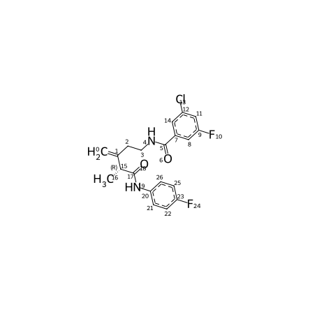 C=C(CCNC(=O)c1cc(F)cc(Cl)c1)[C@@H](C)C(=O)Nc1ccc(F)cc1